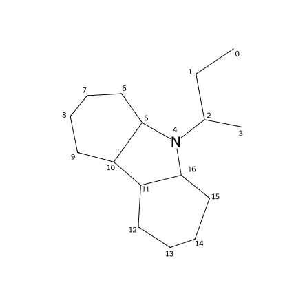 CCC(C)N1C2CCCCC2C2CCCCC21